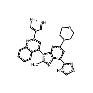 Cc1nc2c(-c3nnc[nH]3)cc(N3CCOCC3)cc2n1-c1cc(/C(C=N)=C/N)nc2ccccc12